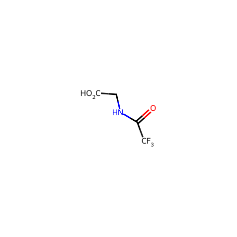 O=C(O)CNC(=O)C(F)(F)F